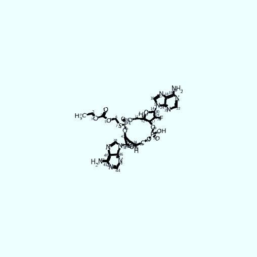 CCOC(=O)OCSP1(=O)OC[C@H]2O[C@@H](n3cnc4c(N)ncnc43)C(F)C2OP(=O)(O)OC[C@H]2O[C@@H](n3cnc4c(N)ncnc43)C(O1)C2O